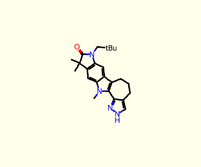 Cn1c2c(c3cc4c(cc31)C(C)(C)C(=O)N4CC(C)(C)C)CCCc1c[nH]nc1-2